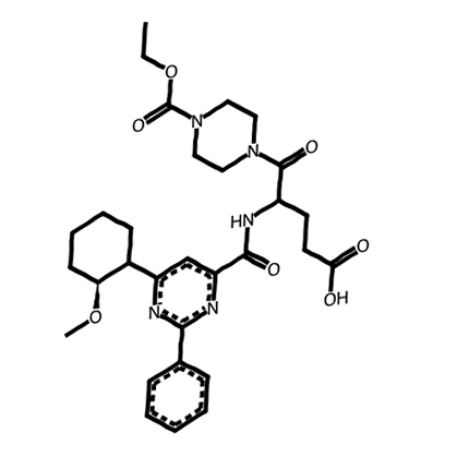 CCOC(=O)N1CCN(C(=O)C(CCC(=O)O)NC(=O)c2cc(C3CCCC[C@@H]3OC)nc(-c3ccccc3)n2)CC1